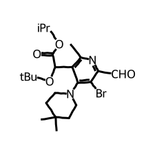 Cc1nc(C=O)c(Br)c(N2CCC(C)(C)CC2)c1C(OC(C)(C)C)C(=O)OC(C)C